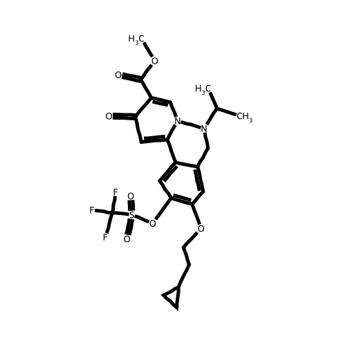 COC(=O)c1cn2c(cc1=O)-c1cc(OS(=O)(=O)C(F)(F)F)c(OCCC3CC3)cc1CN2C(C)C